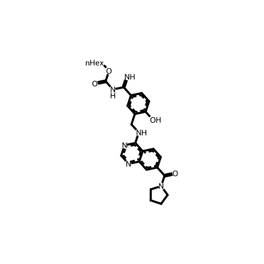 CCCCCCOC(=O)NC(=N)c1ccc(O)c(CNc2ncnc3cc(C(=O)N4CCCC4)ccc23)c1